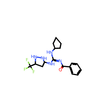 O=C(/N=C(/NC1CCCC1)NC1CC(C(F)(F)F)NN1)c1ccccc1